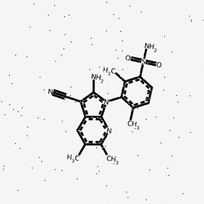 Cc1cc2c(C#N)c(N)n(-c3c(C)ccc(S(N)(=O)=O)c3C)c2nc1C